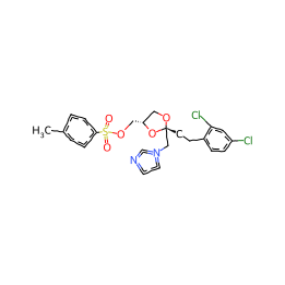 Cc1ccc(S(=O)(=O)OC[C@@H]2CO[C@](CCc3ccc(Cl)cc3Cl)(Cn3ccnc3)O2)cc1